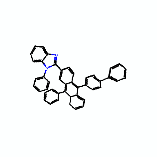 C1=CCC2C(=C1)C(c1ccc(-c3ccccc3)cc1)=c1ccc(-c3nc4ccccc4n3-c3ccccc3)cc1=C2c1ccccc1